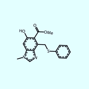 COC(=O)c1c(O)cc2c(ncn2C)c1CSc1ccccc1